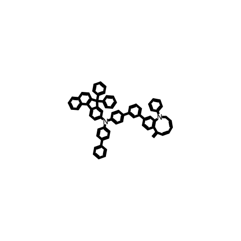 C=C1/C=C\C=C/CN(c2ccccc2)c2cc(-c3cccc(-c4ccc(N(c5ccc(-c6ccccc6)cc5)c5ccc6c(c5)C(c5ccccc5)(c5ccccc5)c5ccc7ccccc7c5-6)cc4)c3)ccc21